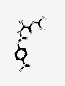 CC(C)OC(=O)[C@H](C)N[PH](=O)Oc1ccc([N+](=O)[O-])cc1